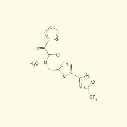 CN(Cc1ccc(-c2noc(C(F)(F)F)n2)s1)C(=O)C(=O)c1cccs1